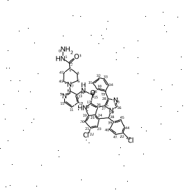 NNC(=O)C1CCN(c2ncccc2NC(=O)c2[nH]c3cc(Cl)cc4c3c2-c2c(-c3ccccc3)ncn2C4c2ccc(Cl)cc2)CC1